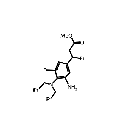 CCC(CC(=O)OC)c1cc(N)c(N(CC(C)C)CC(C)C)c(F)c1